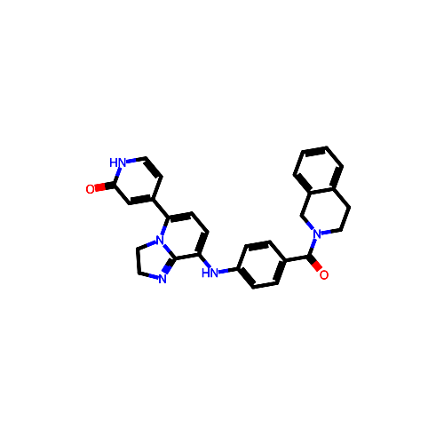 O=C(c1ccc(NC2=CC=C(c3cc[nH]c(=O)c3)N3CCN=C23)cc1)N1CCc2ccccc2C1